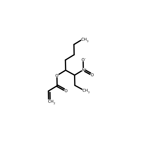 C=CC(=O)OC(CCCC)C(CC)[N+](=O)[O-]